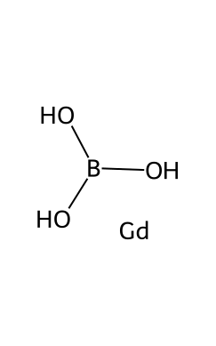 OB(O)O.[Gd]